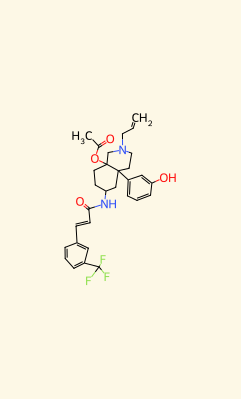 C=CCN1CCC2(c3cccc(O)c3)CC(NC(=O)/C=C/c3cccc(C(F)(F)F)c3)CCC2(OC(C)=O)C1